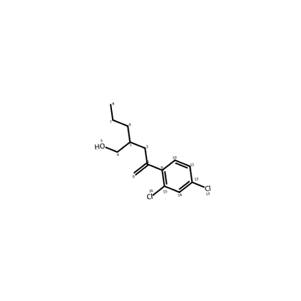 C=C(CC(CO)CCC)c1ccc(Cl)cc1Cl